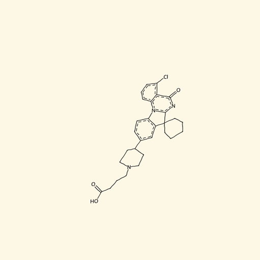 O=C(O)CCCN1CCC(c2ccc3c(c2)C2(CCCCC2)c2nc(=O)c4c(Cl)cccc4n2-3)CC1